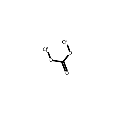 O=C([O][Cf])[O][Cf]